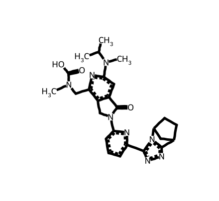 CC(C)N(C)c1cc2c(c(CN(C)C(=O)O)n1)CN(c1cccc(-c3nnc4n3C3CCC4C3)n1)C2=O